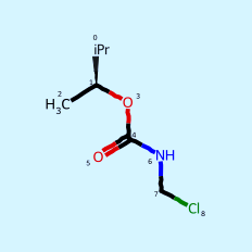 CC(C)[C@H](C)OC(=O)NCCl